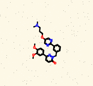 COc1ccc(-c2ccc(=O)n(Cc3cccc(-c4ncc(OCCCN(C)C)cn4)c3)n2)cc1OC